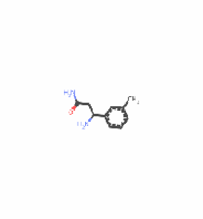 Cc1cccc(C(N)CC(N)=O)c1